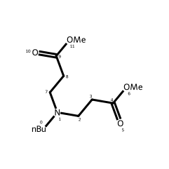 CCCCN(CCC(=O)OC)CCC(=O)OC